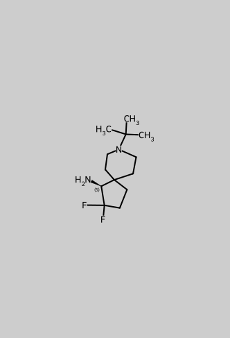 CC(C)(C)N1CCC2(CC1)CCC(F)(F)[C@H]2N